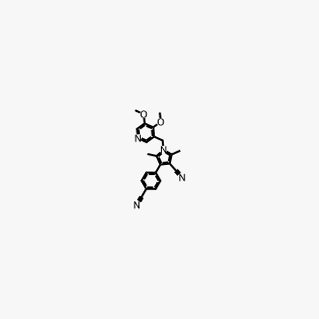 COc1cncc(Cn2c(C)c(C#N)c(-c3ccc(C#N)cc3)c2C)c1OC